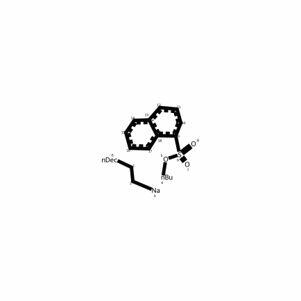 CCCCCCCCCCC[CH2][Na].CCCCOS(=O)(=O)c1cccc2ccccc12